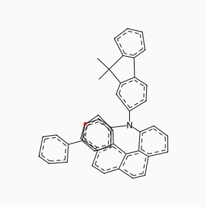 CC1(C)c2ccccc2-c2ccc(N(c3ccc(-c4ccccc4)cc3)c3cccc4ccc5ccc6ccccc6c5c34)cc21